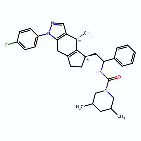 CC1CC(C)CN(C(=O)NC(C[C@H]2CCC3=C2[C@@H](C)c2cnn(-c4ccc(F)cc4)c2C3)c2ccccc2)C1